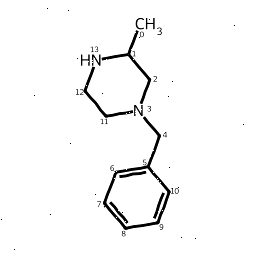 CC1CN(Cc2c[c]ccc2)CCN1